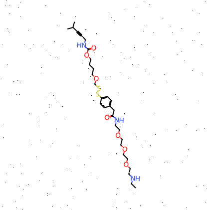 CCNCCOCCOCCOCCNC(=O)Cc1ccc(SSCOCCCCOC(=O)NCC#CC(C)C)cc1